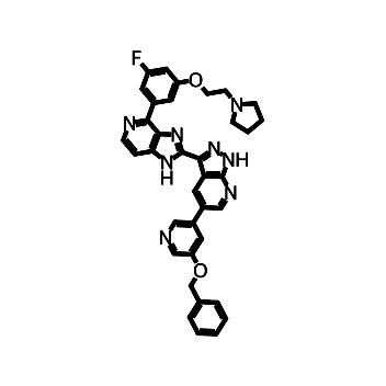 Fc1cc(OCCN2CCCC2)cc(-c2nccc3[nH]c(-c4n[nH]c5ncc(-c6cncc(OCc7ccccc7)c6)cc45)nc23)c1